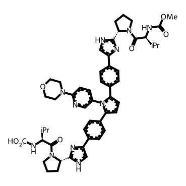 COC(=O)N[C@H](C(=O)N1CCC[C@H]1c1nc(-c2ccc(-c3ccc(-c4ccc(-c5c[nH]c([C@@H]6CCCN6C(=O)[C@@H](NC(=O)O)C(C)C)n5)cc4)n3-c3ccc(N4CCOCC4)nc3)cc2)c[nH]1)C(C)C